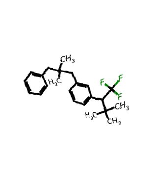 CC(C)(Cc1ccccc1)Cc1cccc(C(C(C)(C)C)C(F)(F)F)c1